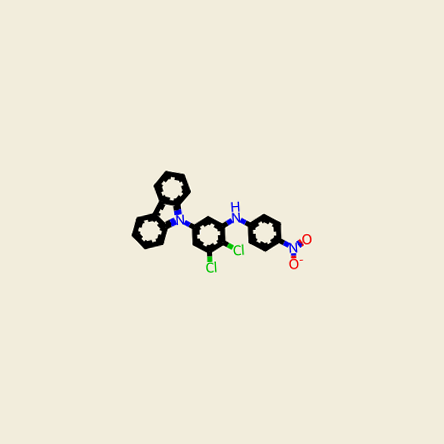 O=[N+]([O-])c1ccc(Nc2cc(-n3c4ccccc4c4ccccc43)cc(Cl)c2Cl)cc1